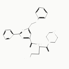 CCOC(=O)N1CCN(C(=O)C(CCC(=O)O)NC(=O)c2cc(CSc3ccccc3)nc(-c3ccccc3)n2)CC1